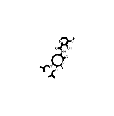 C=C(C)CO[C@H]1[C@H](C)OC(=O)C(NC(=O)c2nccc(OC)c2O)CCC[C@@H]1OCC(=C)C